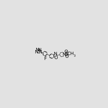 CS(=O)(=O)N1CCC(c2nc3cc(-c4ccc(-n5cnnn5)cc4F)ccc3o2)CC1